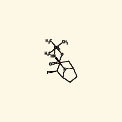 CN[C@H]1CC2CCC([C@H]1F)N2C(=O)OC(C)(C)C